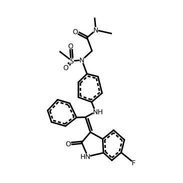 CN(C)C(=O)CN(c1ccc(NC(=C2C(=O)Nc3cc(F)ccc32)c2ccccc2)cc1)S(C)(=O)=O